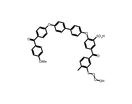 COc1ccc(C(=O)c2ccc(Oc3ccc(-c4ccc(Oc5ccc(C(=O)c6ccc(C)c(SOOO)c6)cc5S(=O)(=O)O)cc4)cc3)cc2)cc1